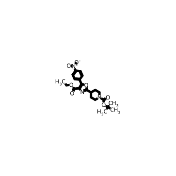 CCOC(=O)c1nc(C2CCN(C(=O)OC(C)(C)C)CC2)oc1-c1ccc([N+](=O)[O-])cc1